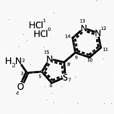 Cl.Cl.NC(=O)c1csc(-c2ccnnc2)n1